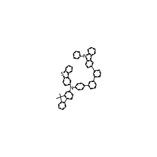 CC1(C)c2ccccc2-c2ccc(N(c3ccc(-c4cccc(-c5cccc(-c6ccc7c(c6)c6ccccc6n7-c6ccccc6)c5)c4)cc3)c3ccc4sc5ccccc5c4c3)cc21